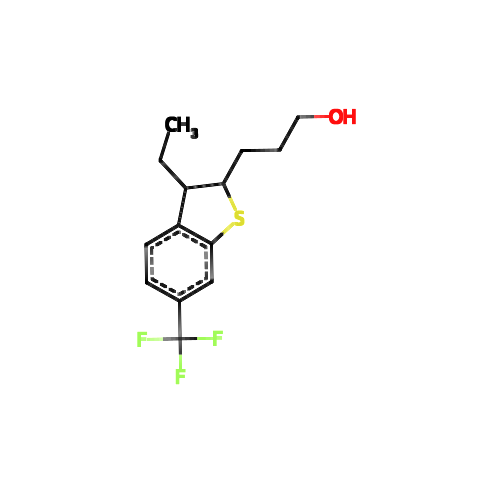 CCC1c2ccc(C(F)(F)F)cc2SC1CCCO